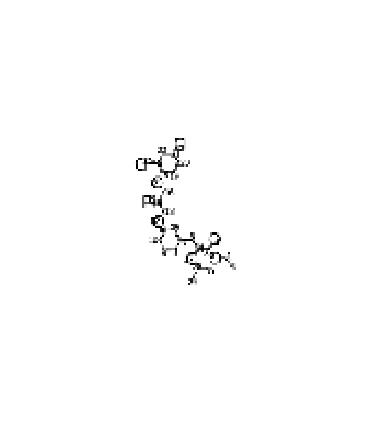 CCOC(=O)[C@H](Cc1cccc(OC[C@@H](F)COc2ccc(Cl)cc2Cl)c1)OC(C)C